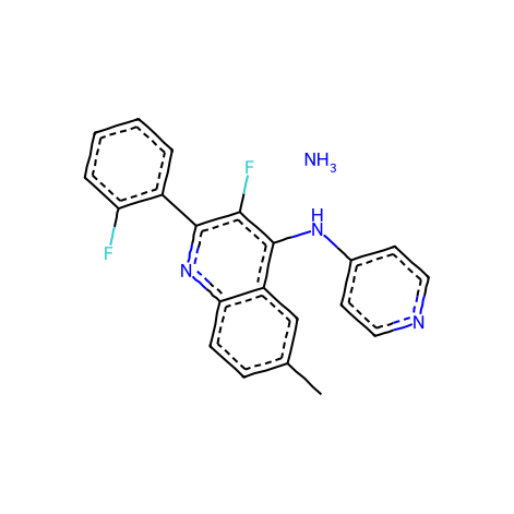 Cc1ccc2nc(-c3ccccc3F)c(F)c(Nc3ccncc3)c2c1.N